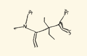 C=C(N(C)C(C)C)C(C)(C)C(=S)C(C)C